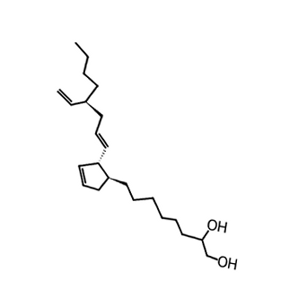 C=C[C@H](CC=C[C@H]1C=CC[C@@H]1CCCCCCC(O)CO)CCCC